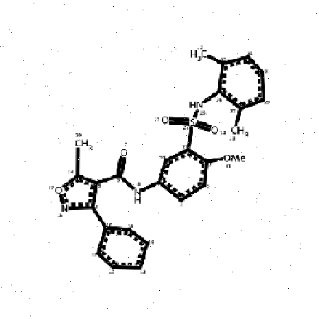 COc1ccc(NC(=O)c2c(-c3ccccc3)noc2C)cc1S(=O)(=O)Nc1c(C)cccc1C